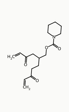 C=CC(=O)CCC(COC(=O)N1CCCCC1)CC(=O)C=C